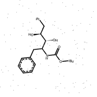 CC(C)C[C@H](O)[C@H](O)C(Cc1ccccc1)NC(=O)OC(C)(C)C